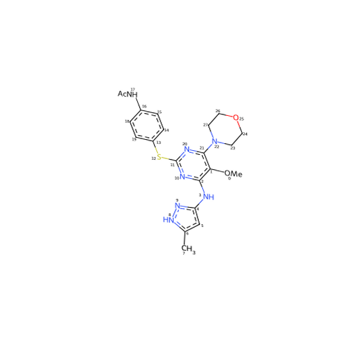 COc1c(Nc2cc(C)[nH]n2)nc(Sc2ccc(NC(C)=O)cc2)nc1N1CCOCC1